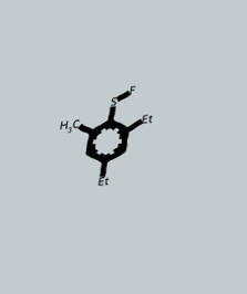 CCc1cc(C)c(SF)c(CC)c1